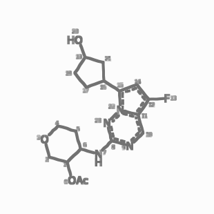 CC(=O)OC1COCCC1Nc1ncc2c(F)cc(C3CCC(O)C3)n2n1